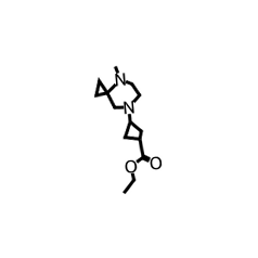 CCOC(=O)C1CC(N2CCN(C)C3(CC3)C2)C1